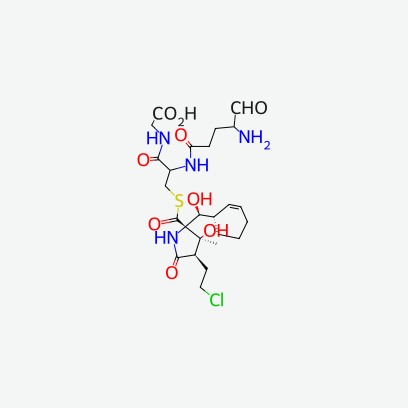 C[C@]1(O)[C@@H](CCCl)C(=O)N[C@]1(C(=O)SCC(NC(=O)CCC(N)C=O)C(=O)NCC(=O)O)[C@@H](O)[C@@H]1C=CCCC1